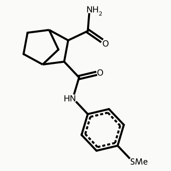 CSc1ccc(NC(=O)C2C3CCC(C3)C2C(N)=O)cc1